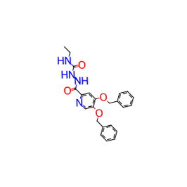 CCNC(=O)NNC(=O)c1cc(OCc2ccccc2)c(OCc2ccccc2)cn1